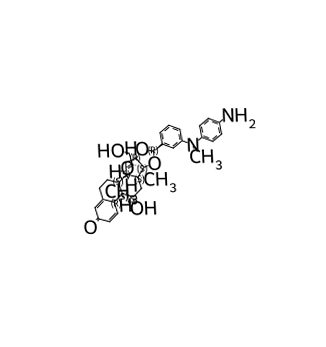 CN(c1ccc(N)cc1)c1cccc([C@@H]2O[C@@H]3C[C@H]4[C@@H]5CCC6=CC(=O)C=C[C@]6(C)[C@H]5[C@@H](O)C[C@]4(C)[C@]3(C(=O)CO)O2)c1